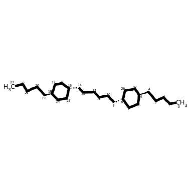 CCCCC[C@H]1CC[C@H](CCCCCC[C@H]2CC[C@H](CCCCC)CC2)CC1